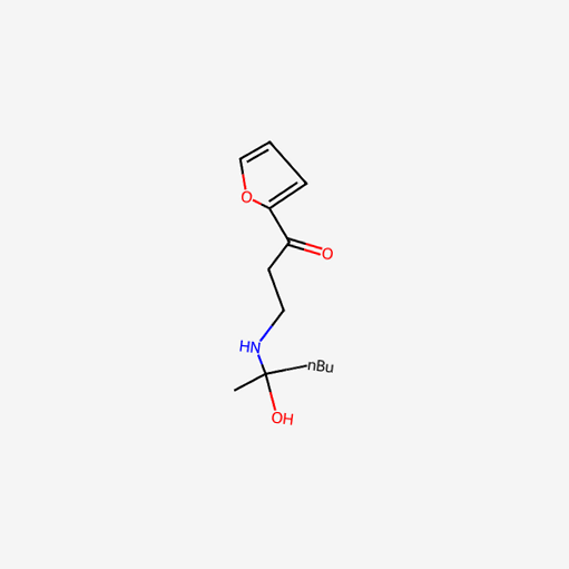 CCCCC(C)(O)NCCC(=O)c1ccco1